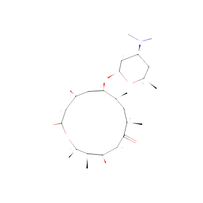 CC[C@H]1OC(O)[C@H](C)[C@@H](O)[C@H](C)[C@@H](O[C@@H]2O[C@H](C)C[C@H](N(C)C)[C@H]2O)[C@@H](C)C[C@@H](C)C(=O)[C@H](C)[C@@H](O)[C@H]1C